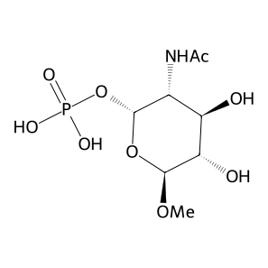 CO[C@H]1O[C@H](OP(=O)(O)O)[C@H](NC(C)=O)[C@@H](O)[C@@H]1O